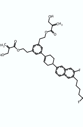 C=C(CO)C(=O)OCCc1cc(CCOC(=O)C(=C)CO)cc(C2=CCC(c3ccc4cc(CCCCC(F)(F)F)c(F)cc4c3)CC2)c1